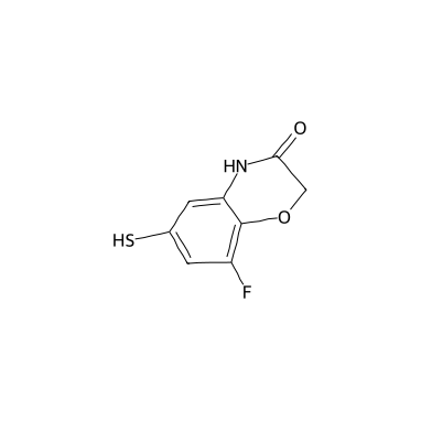 O=C1COc2c(F)cc(S)cc2N1